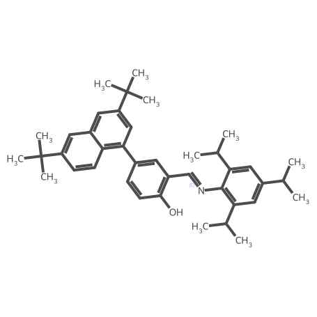 CC(C)c1cc(C(C)C)c(/N=C/c2cc(-c3cc(C(C)(C)C)cc4cc(C(C)(C)C)ccc34)ccc2O)c(C(C)C)c1